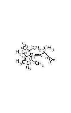 CC(C#C[Si](C(C)C)(C(C)C)C(C)C)C1CC1